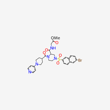 COC(=O)CNC(=O)C1CN(S(=O)(=O)c2ccc3cc(Br)ccc3c2)CCN1C(=O)C1CCN(c2ccncc2)CC1